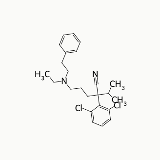 CCN(CCCC(C#N)(c1c(Cl)cccc1Cl)C(C)C)CCc1ccccc1